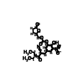 CCN(CC)C(=O)/C(C#N)=C/c1cc(OC(=O)OCC2CCC(=O)O2)c(O)c([N+](=O)[O-])c1